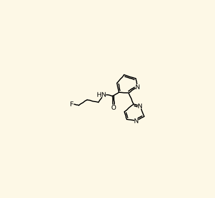 O=C(NCCCF)c1cccnc1-c1ccncn1